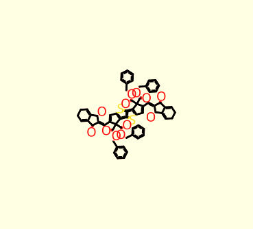 O=C1C(=CC2=Cc3sc4c5c(sc4c3C2(C(=O)OCc2ccccc2)C(=O)OCc2ccccc2)C=C(C=C2C(=O)C3=CCCC=C3C2=O)C5(C(=O)OCc2ccccc2)C(=O)OCc2ccccc2)C(=O)C2=CCCC=C12